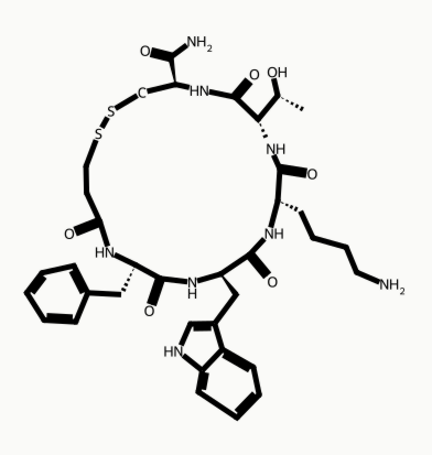 C[C@@H](O)[C@@H]1NC(=O)[C@H](CCCCN)NC(=O)[C@@H](Cc2c[nH]c3ccccc23)NC(=O)[C@H](Cc2ccccc2)NC(=O)CCSSC[C@@H](C(N)=O)NC1=O